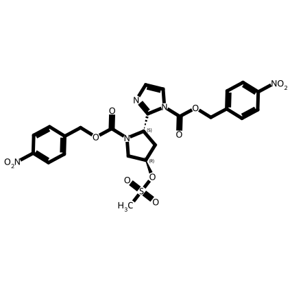 CS(=O)(=O)O[C@@H]1C[C@@H](c2nccn2C(=O)OCc2ccc([N+](=O)[O-])cc2)N(C(=O)OCc2ccc([N+](=O)[O-])cc2)C1